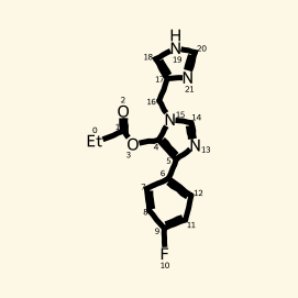 CCC(=O)Oc1c(-c2ccc(F)cc2)ncn1Cc1c[nH]cn1